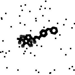 CC(C)[C@H]1C(=O)N(S(C)(=O)=O)[C@H]2CCN(C(=O)C=Cc3ccc(CN4CCCCC4)cc3)[C@H]12